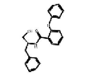 O=C(N[C@H](CO)Cc1ccccc1)c1ccccc1Oc1ccccc1